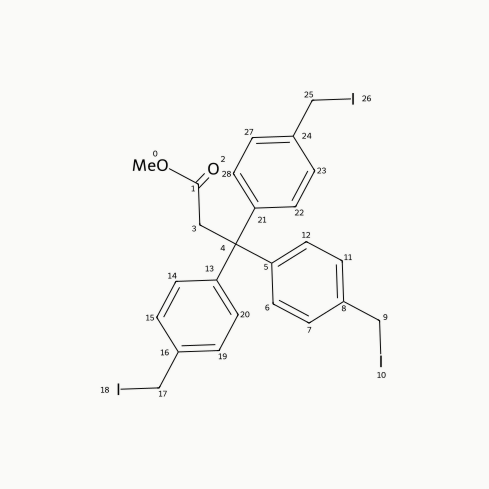 COC(=O)CC(c1ccc(CI)cc1)(c1ccc(CI)cc1)c1ccc(CI)cc1